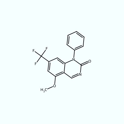 COc1cc(C(F)(F)F)cc2c1cnc(=O)n2-c1ccccc1